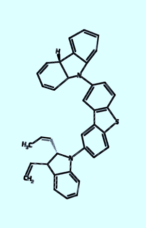 C=CC1c2ccccc2N(c2ccc3sc4ccc(N5c6ccccc6[C@H]6C=CC=CC65)cc4c3c2)[C@H]1/C=C\C